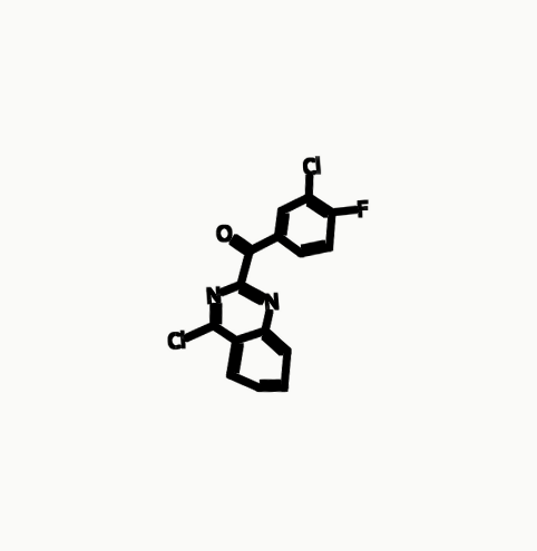 O=C(c1ccc(F)c(Cl)c1)c1nc(Cl)c2ccccc2n1